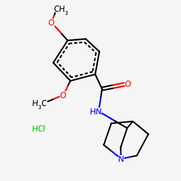 COc1ccc(C(=O)NC2CN3CCC2CC3)c(OC)c1.Cl